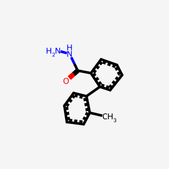 Cc1ccccc1-c1ccccc1C(=O)NN